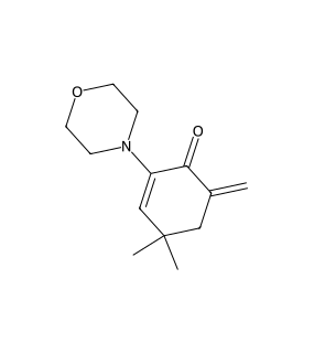 C=C1CC(C)(C)C=C(N2CCOCC2)C1=O